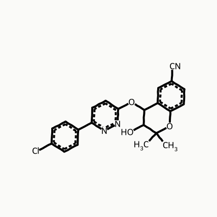 CC1(C)Oc2ccc(C#N)cc2C(Oc2ccc(-c3ccc(Cl)cc3)nn2)C1O